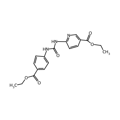 CCOC(=O)c1ccc(NC(=O)Nc2ccc(C(=O)OCC)cn2)cc1